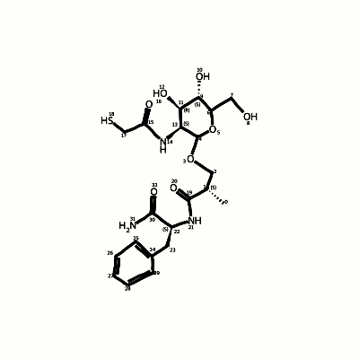 C[C@@H](COC1OC(CO)[C@@H](O)[C@H](O)[C@@H]1NC(=O)CS)C(=O)N[C@@H](Cc1ccccc1)C(N)=O